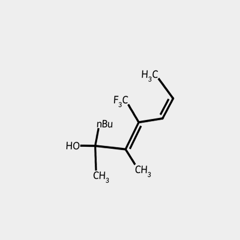 C/C=C\C(=C(/C)C(C)(O)CCCC)C(F)(F)F